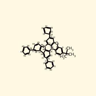 CC(C)(C)c1ccc2c(c1)Oc1cc(-c3ccccc3)cc3c1B2c1cc(-c2ccccc2)cc2c4cc(-c5ccccc5)ccc4n-3c12